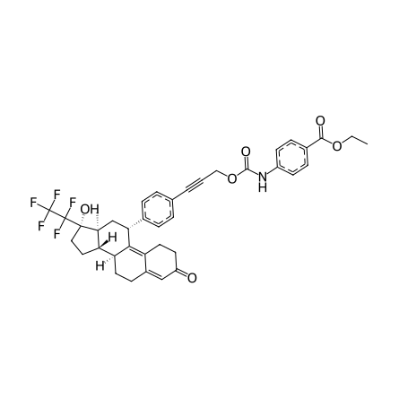 CCOC(=O)c1ccc(NC(=O)OCC#Cc2ccc([C@H]3C[C@@]4(C)[C@@H](CC[C@@]4(O)C(F)(F)C(F)(F)F)[C@@H]4CCC5=CC(=O)CCC5=C43)cc2)cc1